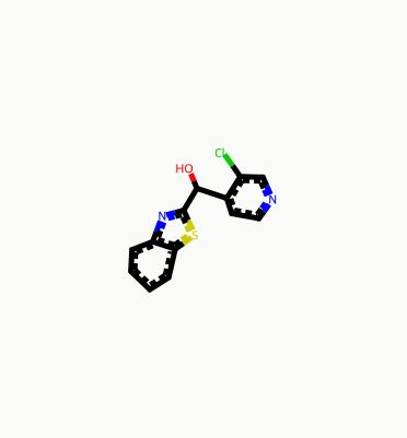 OC(c1nc2ccccc2s1)c1ccncc1Cl